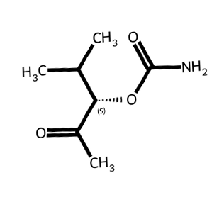 CC(=O)[C@@H](OC(N)=O)C(C)C